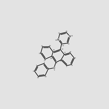 c1ccc(Oc2c3ccccc3c(-c3cnccn3)c3ccccc23)cc1